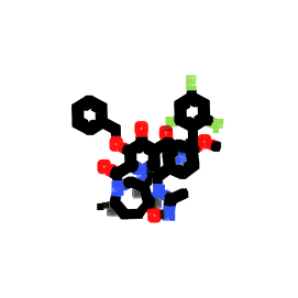 COc1ccc(CN2C(C)=NO[C@@]23CC[C@H](C)N2C[C@H]3n3cc(C(=O)NCc4c(F)cc(F)cc4F)c(=O)c(OCc4ccccc4)c3C2=O)cc1